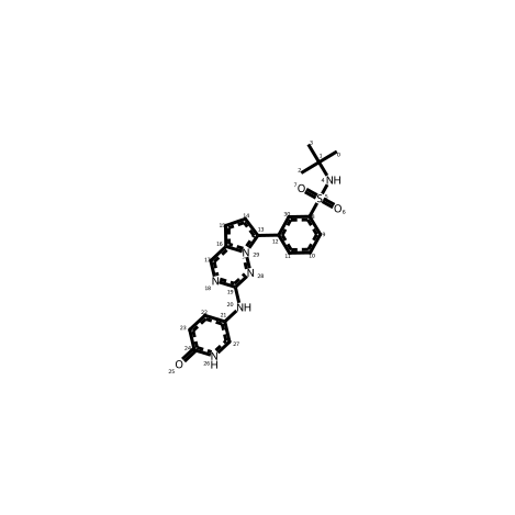 CC(C)(C)NS(=O)(=O)c1cccc(-c2ccc3cnc(Nc4ccc(=O)[nH]c4)nn23)c1